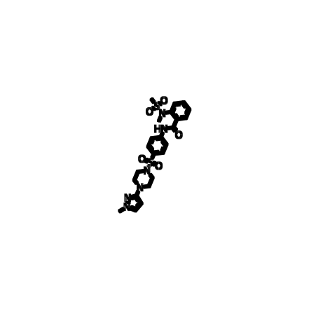 CN(c1ccccc1C(=O)Nc1ccc(S(=O)(=O)N2CCN(c3ccn(C)n3)CC2)cc1)S(C)(=O)=O